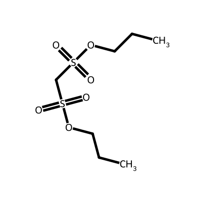 CCCOS(=O)(=O)CS(=O)(=O)OCCC